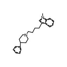 Cn1cc(CCCCN2CCC(c3ccccc3)CC2)c2ccccc21